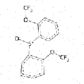 [O-][S+](c1ccccc1OC(F)(F)F)c1ccccc1OC(F)(F)F